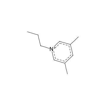 CCC[n+]1cc(C)cc(C)c1